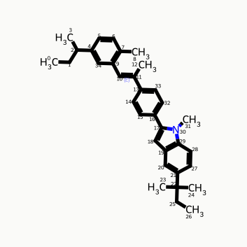 CCC(C)c1ccc(C)c(/C=C(\C)c2ccc(-c3cc4cc(C(C)(C)CC)ccc4n3C)cc2)c1